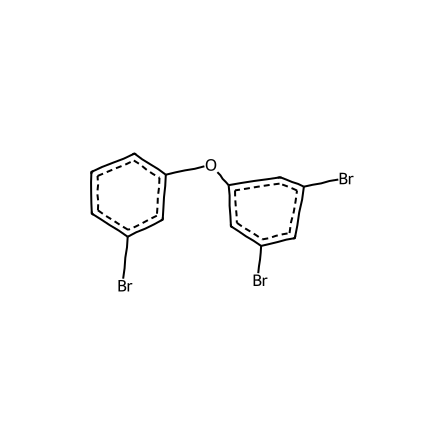 Brc1cccc(Oc2cc(Br)cc(Br)c2)c1